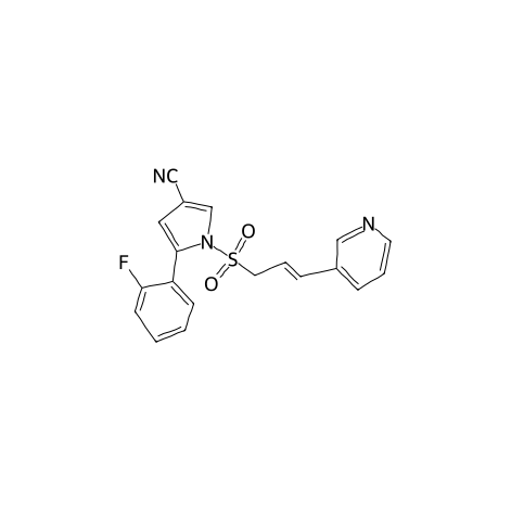 N#Cc1cc(-c2ccccc2F)n(S(=O)(=O)CC=Cc2cccnc2)c1